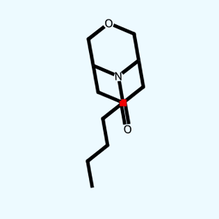 CCCCCN1C2COCC1CC(=O)C2